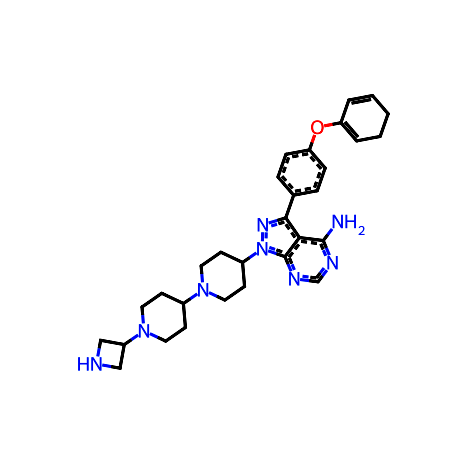 Nc1ncnc2c1c(-c1ccc(OC3=CCCC=C3)cc1)nn2C1CCN(C2CCN(C3CNC3)CC2)CC1